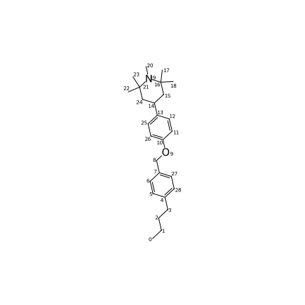 CCCCc1ccc(COc2ccc(C3CC(C)(C)N(C)C(C)(C)C3)cc2)cc1